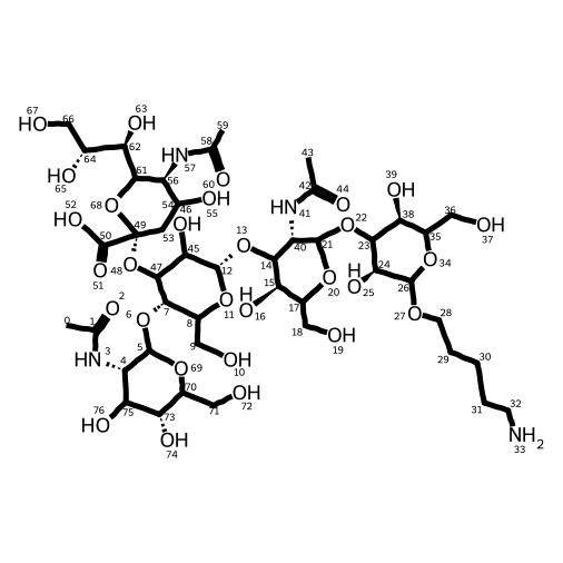 CC(=O)N[C@@H]1C(O[C@H]2C(CO)O[C@@H](OC3[C@H](O)C(CO)OC(OC4[C@H](O)C(OCCCCCN)OC(CO)[C@@H]4O)[C@H]3NC(C)=O)C(O)C2O[C@@]2(C(=O)O)CC(O)[C@H](NC(C)=O)C([C@H](O)[C@H](O)CO)O2)OC(CO)[C@H](O)C1O